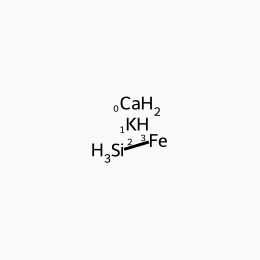 [CaH2].[KH].[SiH3][Fe]